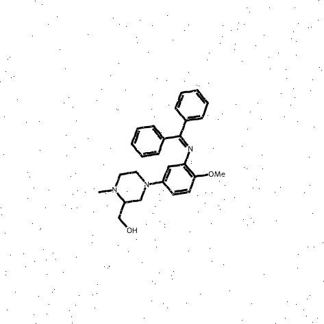 COc1ccc(N2CCN(C)C(CO)C2)cc1N=C(c1ccccc1)c1ccccc1